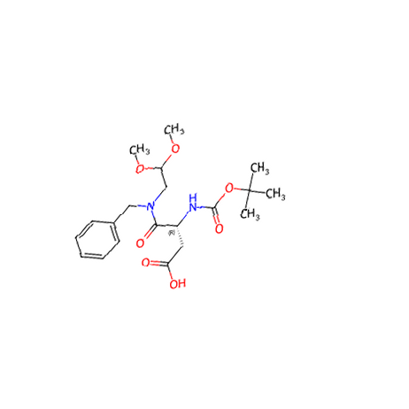 COC(CN(Cc1ccccc1)C(=O)[C@@H](CC(=O)O)NC(=O)OC(C)(C)C)OC